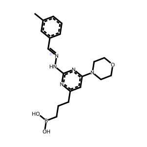 Cc1cccc(/C=N/Nc2nc(CCCB(O)O)cc(N3CCOCC3)n2)c1